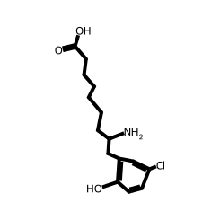 NC(CCCCCCC(=O)O)Cc1cc(Cl)ccc1O